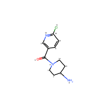 NC1CCN(C(=O)c2ccc(Cl)nc2)CC1